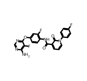 Nc1ncnc(Oc2ccc(NC(=O)c3cccn(-c4ccc(F)cc4)c3=O)c(F)c2)c1F